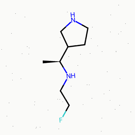 C[C@H](NCCF)C1CCNC1